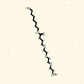 CC(C)CCCCCCCOC(=O)CCCOCCOCCOCCOCC(C)C